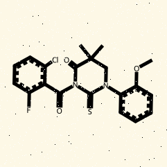 COc1ccccc1N1CC(C)(C)C(=O)N(C(=O)c2c(F)cccc2Cl)C1=S